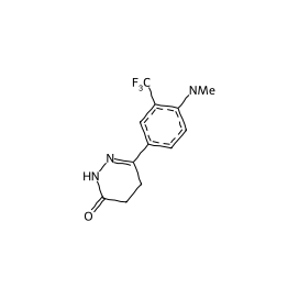 CNc1ccc(C2=NNC(=O)CC2)cc1C(F)(F)F